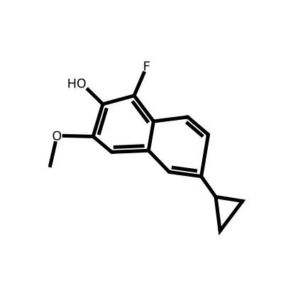 COc1cc2cc(C3CC3)ccc2c(F)c1O